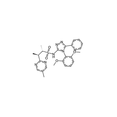 COc1cccc(OC)c1-n1c(NS(=O)(=O)[C@@H](C)[C@H](C)c2ncc(C)cn2)nnc1-c1ccccn1